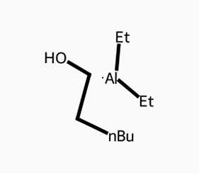 CCCCCCO.C[CH2][Al][CH2]C